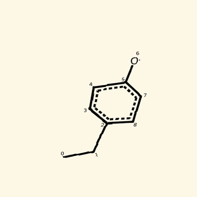 CCc1ccc([O])cc1